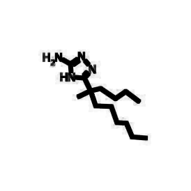 CCCCCCC(C)(CCCC)c1nnc(N)[nH]1